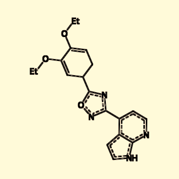 CCOC1=CCC(c2nc(-c3ccnc4[nH]ccc34)no2)C=C1OCC